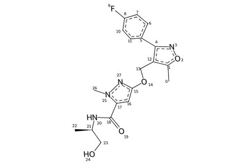 Cc1onc(-c2ccc(F)cc2)c1COc1cc(C(=O)N[C@H](C)CO)n(C)n1